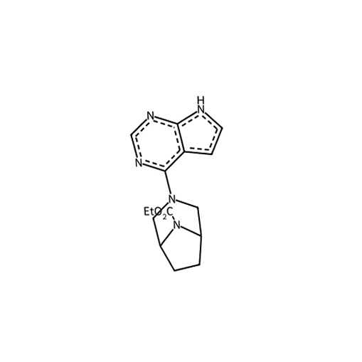 CCOC(=O)N1C2CCC1CN(c1ncnc3[nH]ccc13)C2